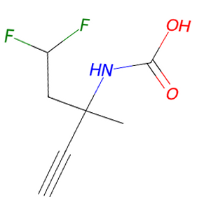 C#CC(C)(CC(F)F)NC(=O)O